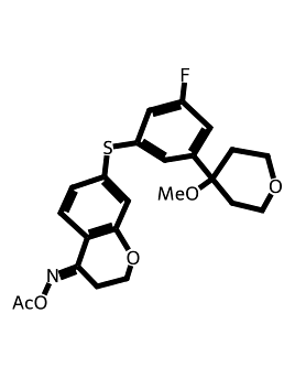 COC1(c2cc(F)cc(Sc3ccc4c(c3)OCCC4=NOC(C)=O)c2)CCOCC1